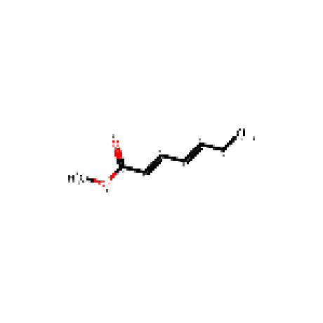 CCC=CC=CC(=O)OC